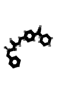 C[C@@H](Cc1ccccc1)NC(=O)OC[n+]1ccc(C(=O)N2CCOCC2)cc1